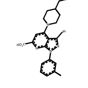 Cc1cccc(-n2nc(C(C)C)c3c(N4CCC(CF)CC4)cc(C(=O)O)nc32)c1